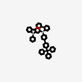 c1ccc(-c2ccccc2N(c2ccc(-c3ccc(C(c4ccccc4)(c4ccccc4)c4ccccc4)cc3)cc2)c2ccc3c4ccccc4n(-c4ccccc4)c3c2)cc1